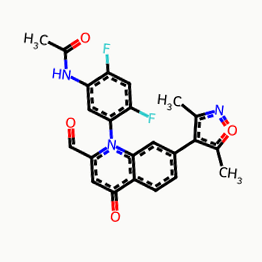 CC(=O)Nc1cc(-n2c(C=O)cc(=O)c3ccc(-c4c(C)noc4C)cc32)c(F)cc1F